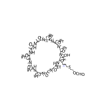 CC[C@@H]1NC(=O)C([C@H](O)[C@H](C)C/C=C/CSCCOC=O)N(C)C(=O)C(C(C)C)N(C)C(=O)[C@H](CC(C)C)N(C)C(=O)[C@H](CC(C)C)N(C)C(=O)[C@H](C)NC(=O)[C@H](C)NC(=O)[C@H](CC(C)C)N(C)C(=O)[C@H](C(C)C)NC(=O)[C@H](CC(C)C)N(C)C(=O)CN(C)C1=O